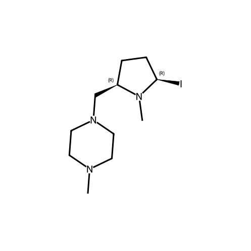 CN1CCN(C[C@H]2CC[C@@H](I)N2C)CC1